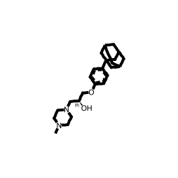 CN1CCN(C[C@@H](O)COc2ccc(C34CC5CC(CC(C5)C3)C4)cc2)CC1